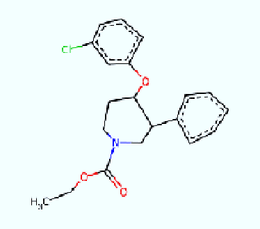 CCOC(=O)N1CCC(Oc2cccc(Cl)c2)C(c2ccccc2)C1